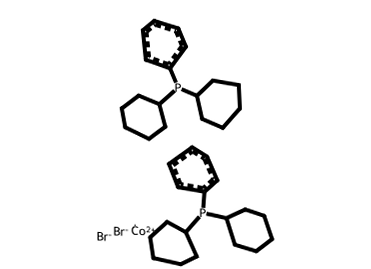 [Br-].[Br-].[Co+2].c1ccc(P(C2CCCCC2)C2CCCCC2)cc1.c1ccc(P(C2CCCCC2)C2CCCCC2)cc1